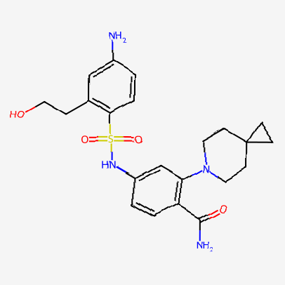 NC(=O)c1ccc(NS(=O)(=O)c2ccc(N)cc2CCO)cc1N1CCC2(CC1)CC2